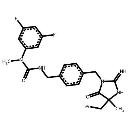 CC(C)CC1(C)NC(=N)N(Cc2ccc(CNC(=O)N(C)c3cc(F)cc(F)c3)cc2)C1=O